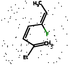 C=C(/C=C\C(F)=C/C)CC